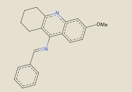 COc1ccc2c(N=Cc3ccccc3)c3c(nc2c1)CCCC3